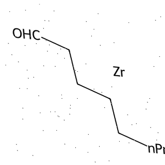 CCCCCCCC=O.[Zr]